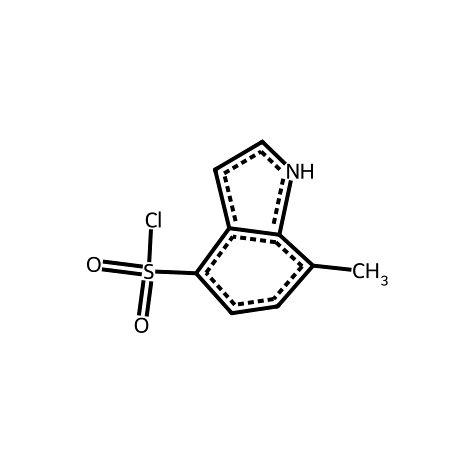 Cc1ccc(S(=O)(=O)Cl)c2cc[nH]c12